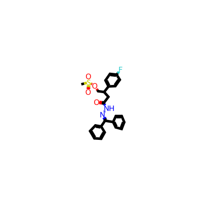 CS(=O)(=O)OCC(CC(=O)NN=C(c1ccccc1)c1ccccc1)c1ccc(F)cc1